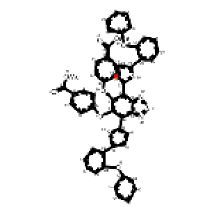 COC(=O)c1ccc(Oc2c(Oc3ccc(C(=O)OC)cc3)c(-c3ccc(-c4ccccc4Oc4ccccc4)s3)c3nsnc3c2-c2ccc(-c3ccccc3Oc3ccccc3)s2)cc1